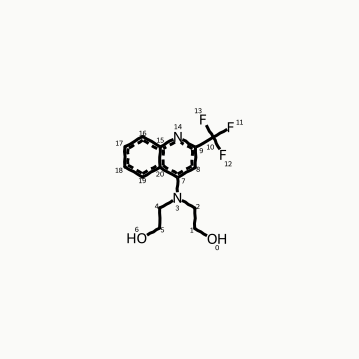 OCCN(CCO)c1cc(C(F)(F)F)nc2ccccc12